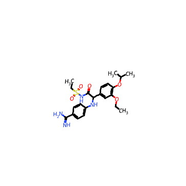 CCOc1cc(C(Nc2ccc(C(=N)N)cc2)C(=O)NS(=O)(=O)CC)ccc1OC(C)C